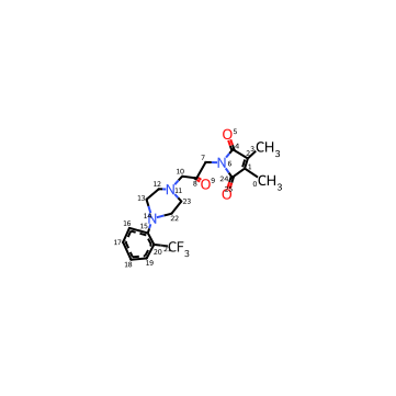 CC1=C(C)C(=O)N(CC(=O)CN2CCN(c3ccccc3C(F)(F)F)CC2)C1=O